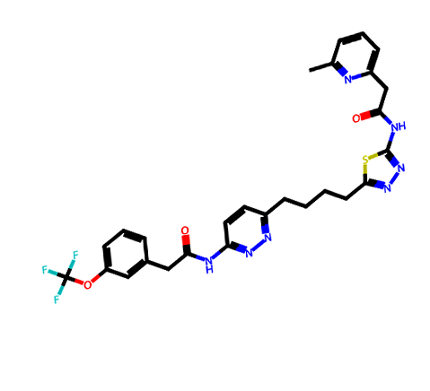 Cc1cccc(CC(=O)Nc2nnc(CCCCc3ccc(NC(=O)Cc4cccc(OC(F)(F)F)c4)nn3)s2)n1